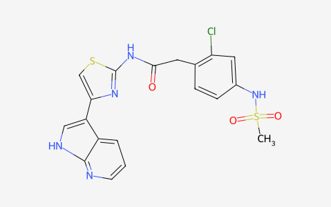 CS(=O)(=O)Nc1ccc(CC(=O)Nc2nc(-c3c[nH]c4ncccc34)cs2)c(Cl)c1